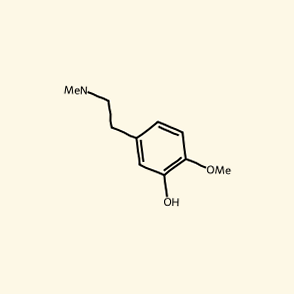 CNCCc1ccc(OC)c(O)c1